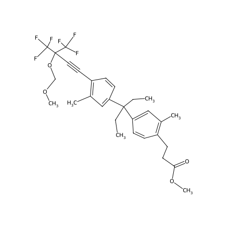 CCC(CC)(c1ccc(C#CC(OCOC)(C(F)(F)F)C(F)(F)F)c(C)c1)c1ccc(CCC(=O)OC)c(C)c1